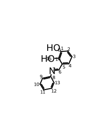 Oc1cccc(C=Nc2ccccc2)c1O